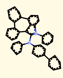 c1ccc(-c2ccc(N(c3ccccc3)c3c4c5c(cccc5n3-c3ccccc3)-c3ccccc3-c3ccccc3-4)cc2)cc1